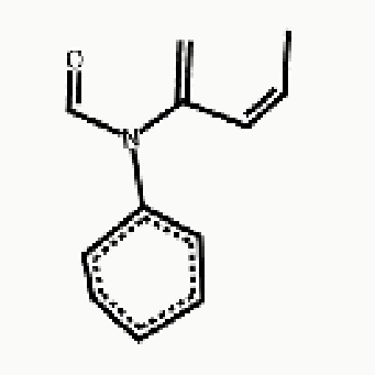 C=C(/C=C\C)N(C=O)c1ccccc1